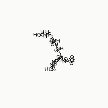 CC1=C(C)C(=O)C(C(C)(C)CC(=O)N(C)CCN(CCCCCC(=O)NCCCCC(NC(=O)CC[C@@H](C)[C@H]2CC[C@H]3[C@@H]4CC[C@@H]5C[C@H](O)CC[C@]5(C)[C@H]4CC[C@]23C)C(=O)O)C(=O)Oc2ccc3nc(C4=NC(C(=O)O)CS4)sc3c2)=C(C)C1=O